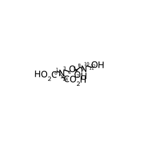 O=C(O)CN(CCOC(=O)CNCCO)CC(=O)O